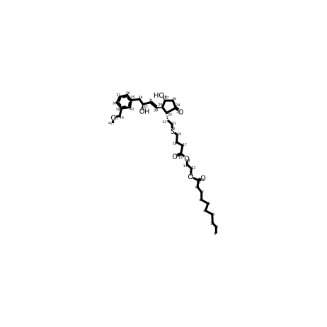 CCCCCCCCCC(=O)OCCOC(=O)CCCSCC[C@H]1C(=O)C[C@@H](O)[C@@H]1C=C[C@@H](O)Cc1cccc(COC)c1